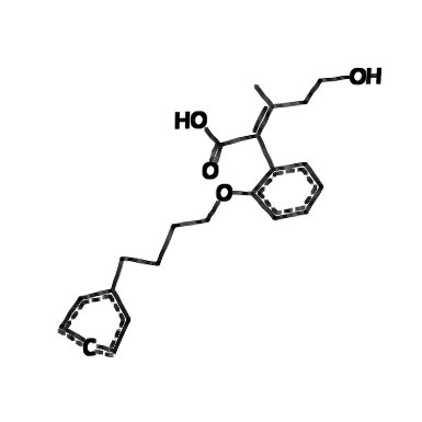 CC(CCO)=C(C(=O)O)c1ccccc1OCCCCc1ccccc1